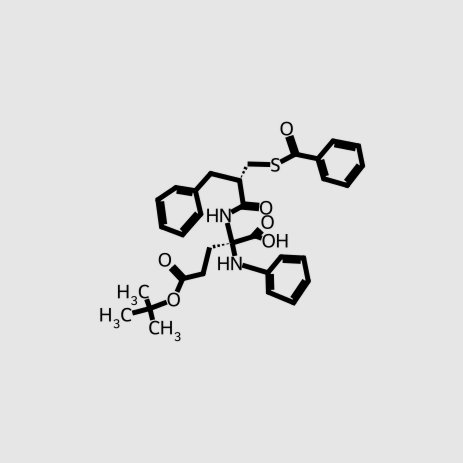 CC(C)(C)OC(=O)CC[C@@](NC(=O)[C@@H](CSC(=O)c1ccccc1)Cc1ccccc1)(Nc1ccccc1)C(=O)O